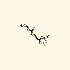 C[CH]OC(=O)OCCC(C)O[N+](=O)[O-]